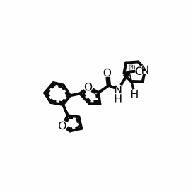 O=C(N[C@H]1CN2CCC1CC2)c1ccc(-c2ccccc2-c2ccco2)o1